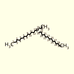 CCCCCCCCCCCCCCP(CCC)CCCCCCCCCCCCCC